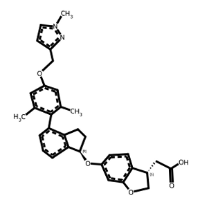 Cc1cc(OCc2ccn(C)n2)cc(C)c1-c1cccc2c1CC[C@H]2Oc1ccc2c(c1)OC[C@H]2CC(=O)O